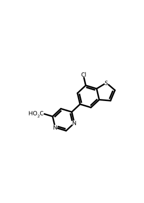 O=C(O)c1cc(-c2cc(Cl)c3sccc3c2)ncn1